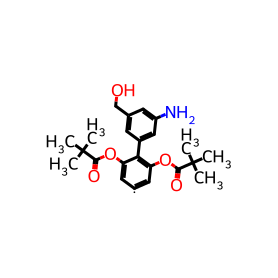 CC(C)(C)C(=O)Oc1c[c]cc(OC(=O)C(C)(C)C)c1-c1cc(N)cc(CO)c1